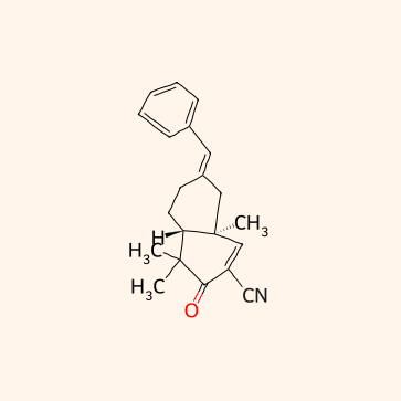 CC1(C)C(=O)C(C#N)=C[C@]2(C)C/C(=C/c3ccccc3)CC[C@@H]12